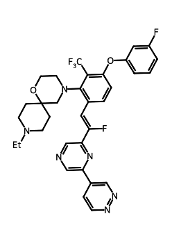 CCN1CCC2(CC1)CN(c1c(/C=C(\F)c3cncc(-c4ccnnc4)n3)ccc(Oc3cccc(F)c3)c1C(F)(F)F)CCO2